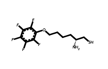 N[C@@H](CS)CCCCOc1c(F)c(F)c(F)c(F)c1F